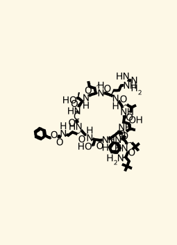 CC[C@H](C)[C@@H]1NC(=O)[C@@H](CCCNC(=N)N)NC(=O)[C@H](CC(C)C)NC(=O)[C@H]([C@H](O)C(C)C)NC(=O)[C@@H](NC(=O)[C@H](CC(C)(C)C)NC(=O)[C@H](N)CC(C)(C)C)[C@@H](c2ccccc2)NC(=O)C(CO)NC(=O)[C@H](CCCNC(=O)OCc2ccccc2)NC(=O)CNC(=O)[C@H]([C@H](C)O)NC1=O